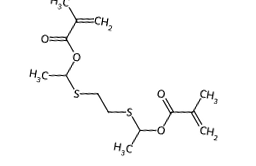 C=C(C)C(=O)OC(C)SCCSC(C)OC(=O)C(=C)C